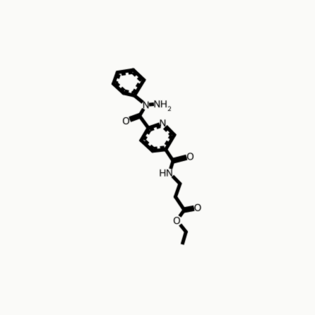 CCOC(=O)CCNC(=O)c1ccc(C(=O)N(N)c2ccccc2)nc1